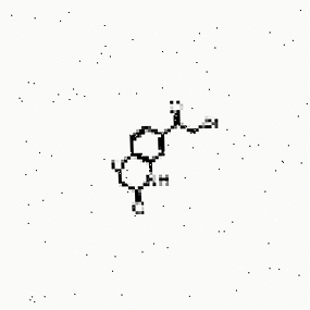 O=C1COc2ccc(C(=O)CBr)cc2N1